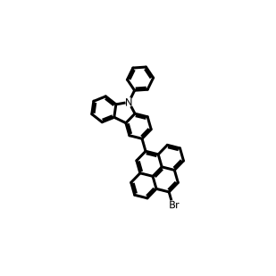 Brc1cc2cccc3c(-c4ccc5c(c4)c4ccccc4n5-c4ccccc4)cc4cccc1c4c23